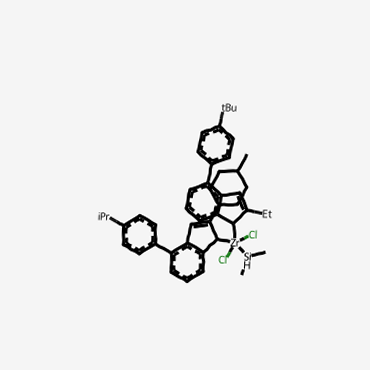 CCC1=Cc2c(-c3ccc(C(C)(C)C)cc3)cccc2[CH]1[Zr]([Cl])([Cl])([CH]1C(C2CCC(C)CC2)=Cc2c(-c3ccc(C(C)C)cc3)cccc21)[SiH](C)C